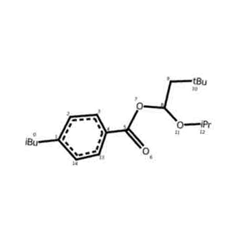 CCC(C)c1ccc(C(=O)OC(CC(C)(C)C)OC(C)C)cc1